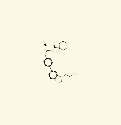 N#C[C@@H](Cc1ccc(-c2ccc3c(c2)N(CCO)CS3)cc1)NC(=O)C1(N)CCCCC1